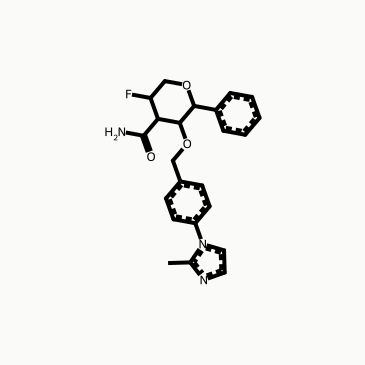 Cc1nccn1-c1ccc(COC2C(c3ccccc3)OCC(F)C2C(N)=O)cc1